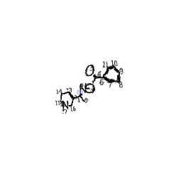 C/C(=N\OC(=O)c1ccccc1)C1=CCCN(C)C1